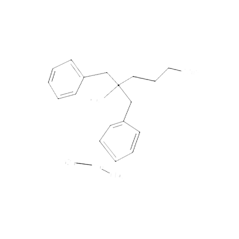 CCC[CH2][Sn+2][CH2]CCC.O=C([O-])CCCC(Cc1ccccc1)(Cc1ccccc1)C(=O)[O-]